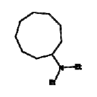 CCN(CC)C1CCCCCCCC1